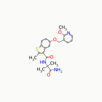 COc1ncccc1COc1ccc2sc(C)c(C(=O)NC(C)(C)C(N)=O)c2c1